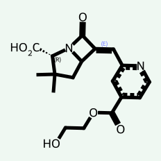 CC1(C)CC2/C(=C\c3cc(C(=O)OCCO)ccn3)C(=O)N2[C@H]1C(=O)O